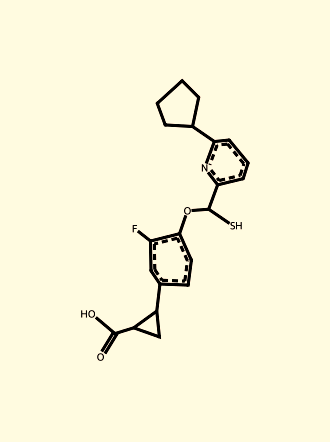 O=C(O)C1CC1c1ccc(OC(S)c2cccc(C3CCCC3)n2)c(F)c1